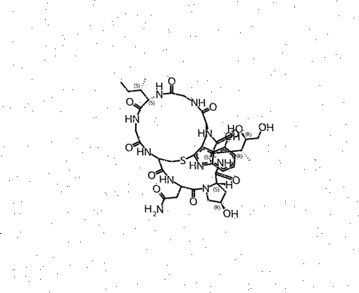 CC[C@H](C)[C@@H]1NC(=O)CNC(=O)C2Cc3c([nH]c4cccc(O)c34)SCC(NC(=O)CNC1=O)C(=O)NC(CC(N)=O)C(=O)N1C[C@H](O)C[C@H]1C(=O)N[C@@H]([C@@H](C)[C@@H](O)CO)C(=O)N2